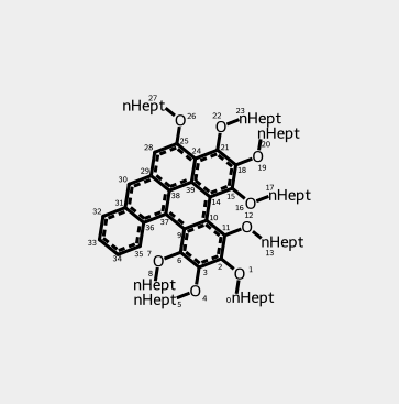 CCCCCCCOc1c(OCCCCCCC)c(OCCCCCCC)c2c(c1OCCCCCCC)c1c(OCCCCCCC)c(OCCCCCCC)c(OCCCCCCC)c3c(OCCCCCCC)cc4cc5ccccc5c2c4c31